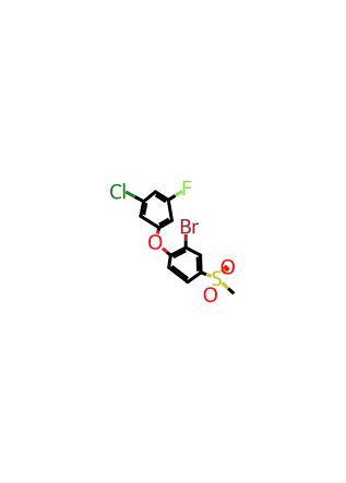 CS(=O)(=O)c1ccc(Oc2cc(F)cc(Cl)c2)c(Br)c1